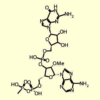 CO[C@H]1C(OP(=O)(O)OC[C@H]2O[C@@H](n3cnc4c(=O)[nH]c(N)nc43)[C@@H](O)C2O)[C@@H](COP(=O)(O)OP(C)(=O)O)O[C@H]1n1cnc2c(N)ncnc21